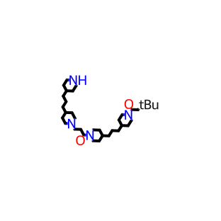 CC(C)(C)CC(=O)N1CCC(CCCC2CCN(C(=O)CCN3CCC(CCCC4CCNCC4)CC3)CC2)CC1